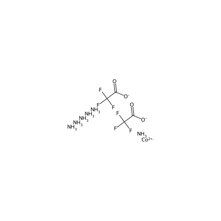 N.N.N.N.N.N.O=C([O-])C(F)(F)F.O=C([O-])C(F)(F)F.[Co+2]